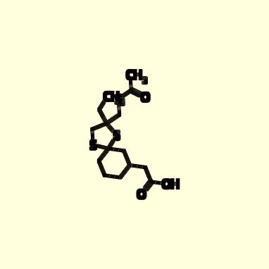 CCC1(CSC(C)=O)CSC2(CCCC(CC(=O)O)C2)S1